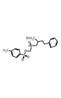 CCOC(=O)C(CCc1ccccc1)C[PH](=O)COS(=O)(=O)c1ccc(C)cc1